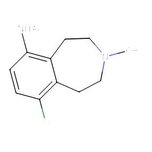 CC(=O)Nc1ccc(Cl)c2c1CCN(C)CC2